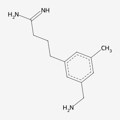 Cc1cc(CN)cc(CCCC(=N)N)c1